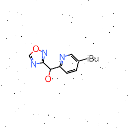 CCC(C)c1ccc(C([O])c2ncon2)nc1